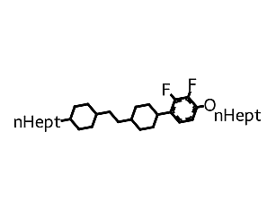 CCCCCCCOc1ccc(C2CCC(CCC3CCC(CCCCCCC)CC3)CC2)c(F)c1F